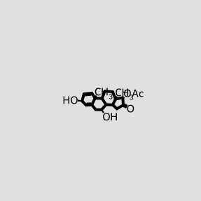 CC(=O)OC1C(=O)CC2C3C(CC[C@]12C)[C@@]1(C)C=C[C@H](O)C=C1C[C@@H]3O